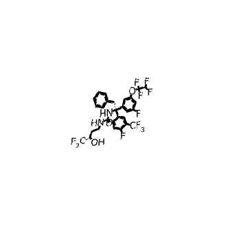 O=C(NCC[C@H](O)C(F)(F)F)N[C@@](Cc1ccccc1)(c1cc(F)cc(OC(F)(F)C(F)F)c1)c1ccc(F)c(C(F)(F)F)c1